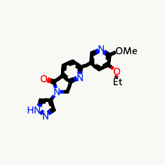 CCOc1cc(-c2ccc3c(n2)CN(c2cn[nH]c2)C3=O)cnc1OC